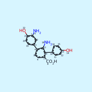 Nc1cc(-c2ccc(C(=O)O)c(-c3ccc(O)cc3)c2N)ccc1O